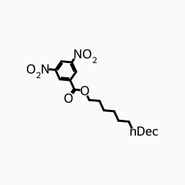 CCCCCCCCCCCCCCCCOC(=O)c1cc([N+](=O)[O-])cc([N+](=O)[O-])c1